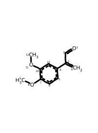 C=C([C]=O)c1ccc(OC)c(OC)c1